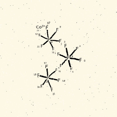 F[P-](F)(F)(F)(F)F.F[P-](F)(F)(F)(F)F.F[P-](F)(F)(F)(F)F.[Co+3]